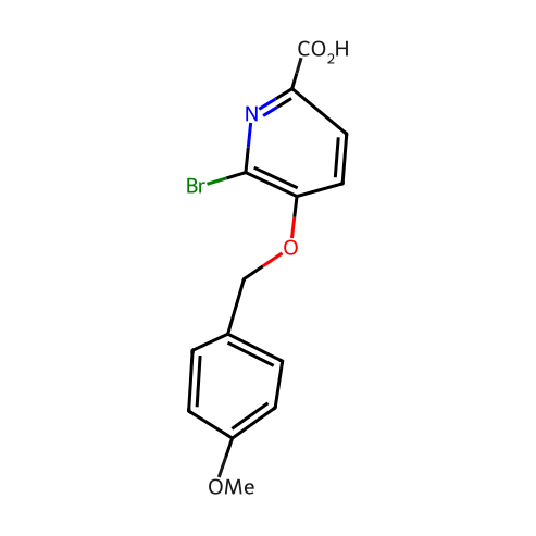 COc1ccc(COc2ccc(C(=O)O)nc2Br)cc1